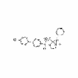 O=C(O)C12[C@H](CCN1S(=O)(=O)c1ccc(-c3ccc(Cl)cc3)cc1)[C@H]2c1ccccc1